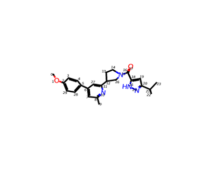 COc1ccc(-c2cc(C)nc(C3CCN(C(=O)c4cc(C(C)C)n[nH]4)C3)c2)cc1